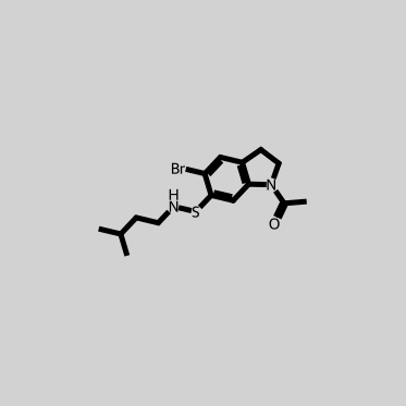 CC(=O)N1CCc2cc(Br)c(SNCCC(C)C)cc21